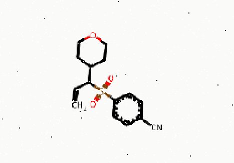 C=CC(C1CCOCC1)S(=O)(=O)c1ccc(C#N)cc1